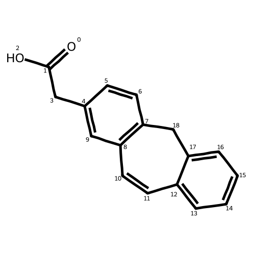 O=C(O)Cc1ccc2c(c1)C=Cc1ccccc1C2